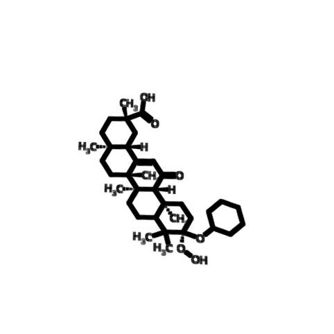 CC1(C)C2CC[C@]3(C)[C@H](C(=O)C=C4[C@H]5C[C@@](C)(C(=O)O)CC[C@]5(C)CC[C@]43C)[C@@]2(C)CC[C@@]1(OO)OC1CCCCC1